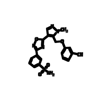 Cn1ncc(-c2nc(-c3cccc(S(N)(=O)=O)c3)no2)c1COc1cccc(C#N)c1